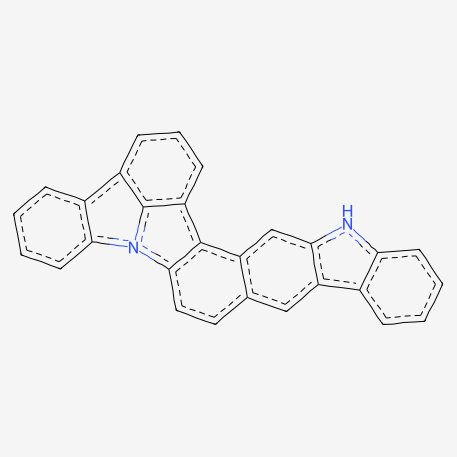 c1ccc2c(c1)[nH]c1cc3c(ccc4c3c3cccc5c6ccccc6n4c53)cc12